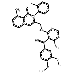 COc1ccc(C(=N)c2c(N)ncnc2NCc2cc3cccc(C)c3c(=O)n2-c2ccccc2F)cc1OC